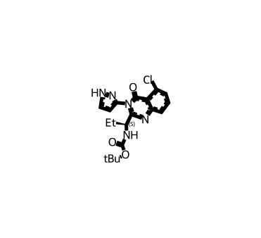 CC[C@H](NC(=O)OC(C)(C)C)c1nc2cccc(Cl)c2c(=O)n1-c1cc[nH]n1